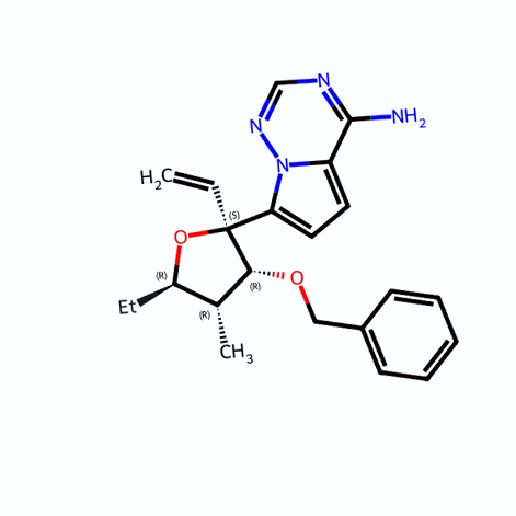 C=C[C@@]1(c2ccc3c(N)ncnn23)O[C@H](CC)[C@@H](C)[C@H]1OCc1ccccc1